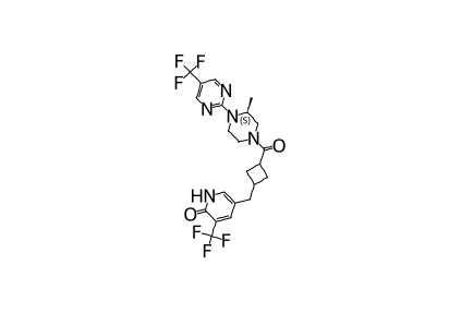 C[C@H]1CN(C(=O)C2CC(Cc3c[nH]c(=O)c(C(F)(F)F)c3)C2)CCN1c1ncc(C(F)(F)F)cn1